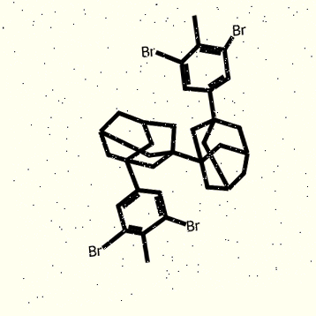 Cc1c(Br)cc(C23CC4CC(C2)CC(C25CC6CC(CC(c7cc(Br)c(C)c(Br)c7)(C6)C2)C5)(C4)C3)cc1Br